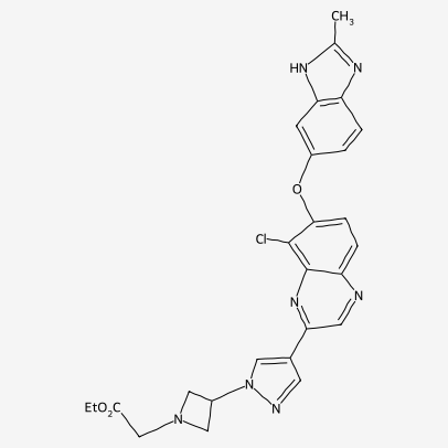 CCOC(=O)CN1CC(n2cc(-c3cnc4ccc(Oc5ccc6nc(C)[nH]c6c5)c(Cl)c4n3)cn2)C1